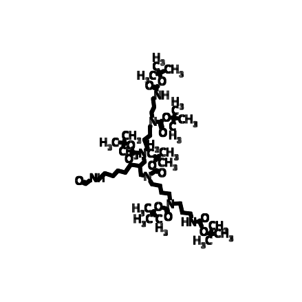 CC(C)(C)OC(=O)NCCCN(CCCCN(CC(CCCCCCNC=O)CN(CCCCN(CCCNC(=O)OC(C)(C)C)C(=O)OC(C)(C)C)C(=O)OC(C)(C)C)C(=O)OC(C)(C)C)C(=O)OC(C)(C)C